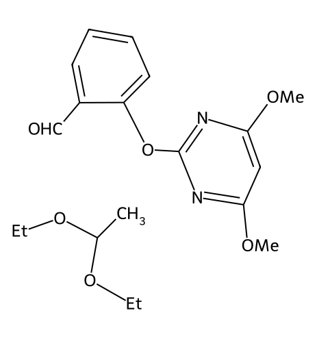 CCOC(C)OCC.COc1cc(OC)nc(Oc2ccccc2C=O)n1